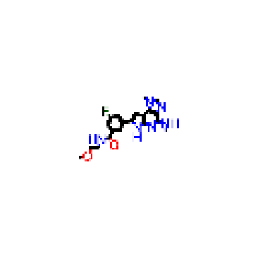 CNc1nc2[nH]c(-c3cc(F)cc(C(=O)NCCOC)c3)cc2c2c1ncn2C